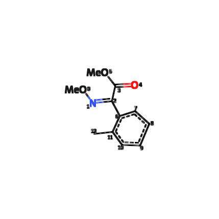 CON=C(C(=O)OC)c1ccccc1C